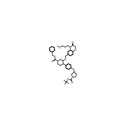 COCCCN1C(=O)COc2ccc(COC3CN(C(=O)OCc4ccccc4)CCC3c3ccc(O[C@H]4CCN(C(=O)OC(C)(C)C)C4)cc3)cc21